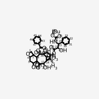 CC(=O)OC12COC1CC(O)C1(C)C(=O)C(O)C3=C(C)[C@@H](OC(=O)C(O)C(NC(=O)OC(C)(C)C)c4ccccc4)CC(O)([C@@H](OC(=O)c4ccccc4)C21)C3(C)C